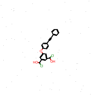 OC(Cl)c1cc(Oc2ccc(C#Cc3ccccc3)cc2)cc(C(O)Cl)c1